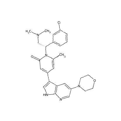 Cc1cc(-c2c[nH]c3ncc(N4CCOCC4)cc23)cc(=O)n1[C@H](CN(C)C)c1cccc(Cl)c1